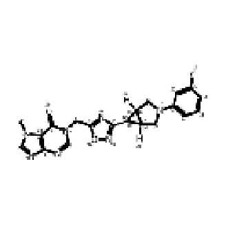 Cn1cnc2ncn(Cc3nc([C@H]4[C@@H]5CN(c6cccc(Cl)c6)C[C@@H]54)no3)c(=O)c21